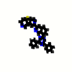 c1ccc(-c2nc(-c3ccccc3)nc(-c3cccc4cc(-c5cc6c(cn5)sc5ccncc56)ncc34)n2)cc1